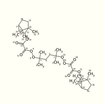 CC(C)(CCC(C)(C)OOC(=O)C(=O)OC1CC2CCC1(C)C2(C)C)OOC(=O)C(=O)OC1CC2CCC1(C)C2(C)C